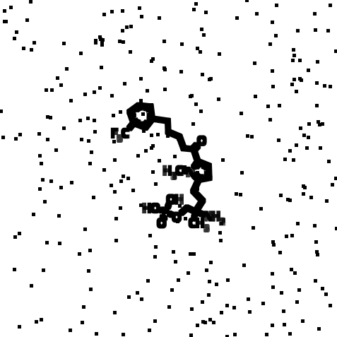 Cn1c(CCC(C)(N)COP(=O)(O)O)ccc1C(=O)CCCCc1cccc(C(F)(F)F)c1